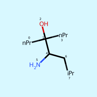 CCCC(O)(CCC)C(N)CC(C)C